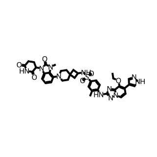 CCOc1c(-c2cn[nH]c2)ccn2nc(Nc3ccc(S(=O)(=O)NC4CC5(CCN(c6cccc7c6n(C)c(=O)n7C6CCC(=O)NC6=O)CC5)C4)cc3C)nc12